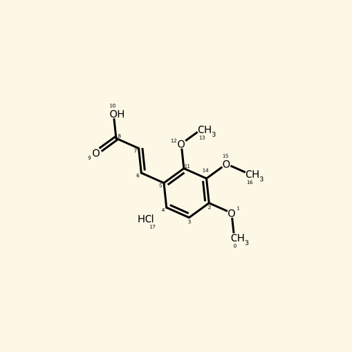 COc1ccc(C=CC(=O)O)c(OC)c1OC.Cl